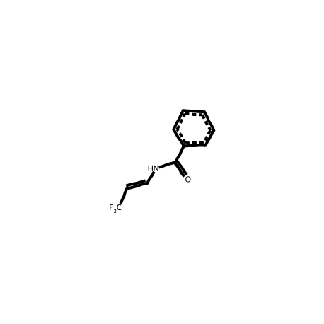 O=C(NC=CC(F)(F)F)c1ccccc1